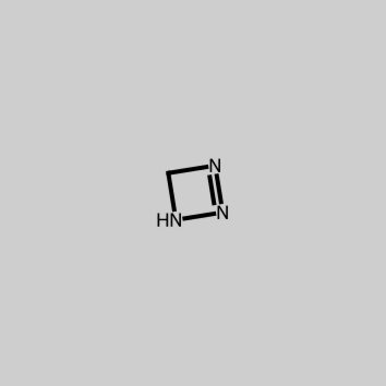 C1N=NN1